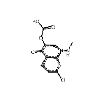 CNn1cc(OC(=O)O)c(=O)c2ccc(Cl)nc21